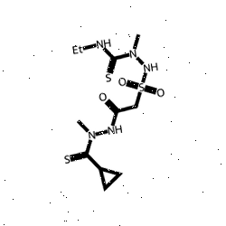 CCNC(=S)N(C)NS(=O)(=O)CC(=O)NN(C)C(=S)C1CC1